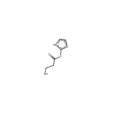 O=C(CCS)Oc1ncc[nH]1